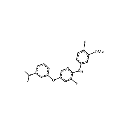 COc1cc(Nc2ncc(Oc3cccc(N(C)C)c3)cc2F)ccc1F